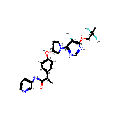 CC(C(=O)Nc1cccnc1)c1ccc(O[C@@H]2CCN(c3ncnc(OCC(C)(F)F)c3F)C2)cc1